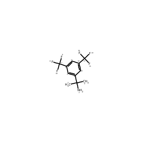 CC(C)(N)c1cc(C(F)(F)F)cc(C(F)(F)F)c1